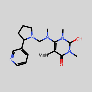 CNC1=C(N(C)CN2CCCC2c2cccnc2)N(C)C(O)N(C)C1=O